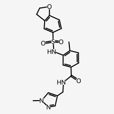 Cc1ccc(C(=O)NCc2cnn(C)c2)cc1NS(=O)(=O)c1ccc2c(c1)CCO2